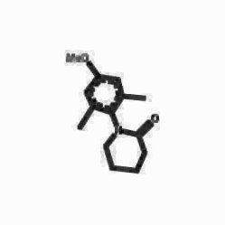 COc1cc(C)c(N2CCCCC2=O)c(C)c1